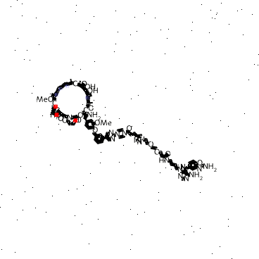 CO[C@H]1C[C@@H]2CC[C@@H](C)[C@@](O)(O2)C(=O)C(=O)N2CCCC[C@H]2C(=O)O[C@H]([C@H](N)C[C@@H]2CC[C@@H](OCc3cccc(-c4cnc(N5CCN(C(=O)CCc6cn(CCOCCOCCC(=O)NCCCCn7nc(-c8ccc9oc(N)nc9c8)c8c(N)ncnc87)nn6)CC5)nc4)c3)[C@H](OC)C2)CC(=O)[C@H](C)/C=C(\C)[C@@H](O)[C@@H](O)C(=O)[C@H](C)C[C@H](C)/C=C/C=C/C=C/1C